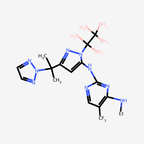 BC(B)(B)C(B)(B)n1nc(C(C)(C)n2nccn2)cc1Nc1ncc(C(F)(F)F)c(NCC)n1